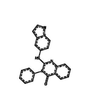 O=c1c2ccccc2nc(Nc2ccn3nccc3c2)n1-c1ccccc1